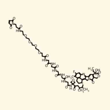 CC[C@]1(O)C(=O)OCc2c1cc1n(c2=O)Cc2c-1nc1cc(F)c(C)c3c1c2[C@H](C[C@@H](C)C(C)CC(=O)C1(NC(=O)CNC(=O)CNC(=O)CNC(=O)CNC(=O)CNC(=O)CCOCCOCCOCCOCCNC(=O)CCN2C(=O)C=CC2=O)COC1)CC3